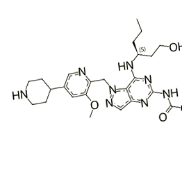 CCC[C@@H](CCO)Nc1nc(NC(=O)OC)nc2cnn(Cc3ncc(C4CCNCC4)cc3OC)c12